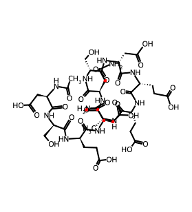 CC(=O)N[C@H](CC(=O)O)C(=O)N[C@H](CO)C(=O)N[C@H](CCC(=O)O)C(=O)N[C@H](CC(=O)O)C(=O)N[C@H](CC(N)=O)C(=O)N[C@H](CO)C(=O)N[C@H](CC(=O)O)C(=O)N[C@H](CCC(=O)O)C(=O)N[C@H](CCC(=O)O)C(=O)N[C@H](C)C(N)=O